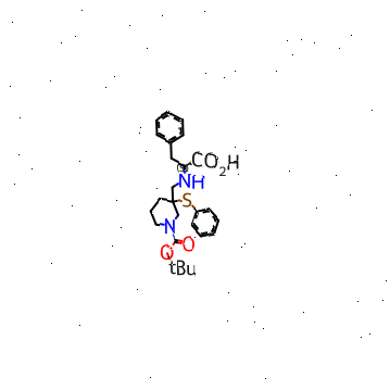 CC(C)(C)OC(=O)N1CCCC(CN[C@@H](Cc2ccccc2)C(=O)O)(Sc2ccccc2)C1